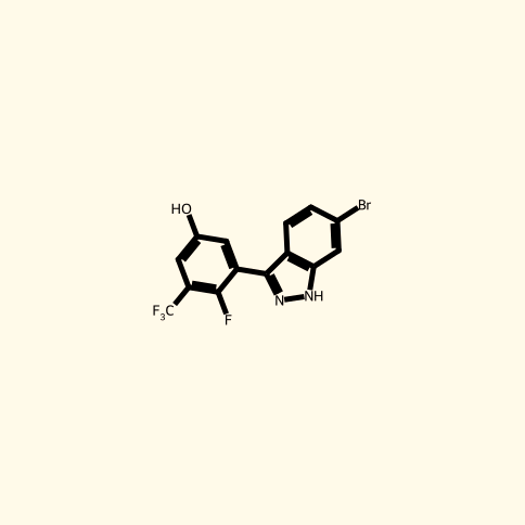 Oc1cc(-c2n[nH]c3cc(Br)ccc23)c(F)c(C(F)(F)F)c1